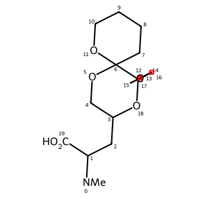 CNC(CC1COC2(CCCCO2)C2(CCCCO2)O1)C(=O)O